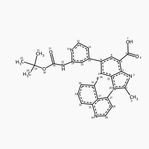 Cc1nc2c(C(=O)O)cc(-c3ccnc(NC(=O)OC(C)(C)C)c3)cc2n1-c1ccnc2cccc(F)c12